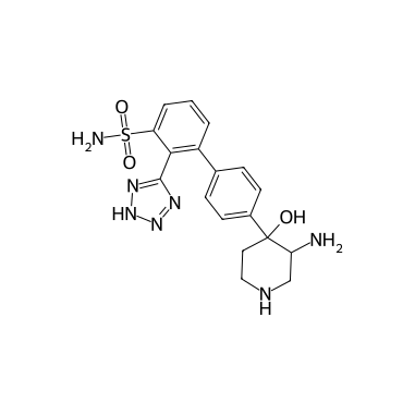 NC1CNCCC1(O)c1ccc(-c2cccc(S(N)(=O)=O)c2-c2nn[nH]n2)cc1